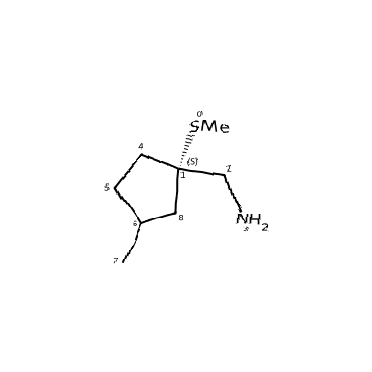 CS[C@@]1(CN)CCC(C)C1